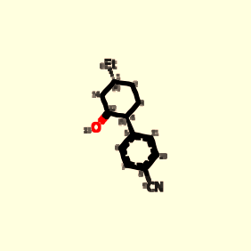 CC[C@@H]1CC[C@@H](c2ccc(C#N)cc2)C(=O)C1